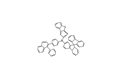 C1=CC2c3ccc(N(c4ccc(-c5ccc6ccccc6c5-c5ccccc5)cc4)c4ccc5sc6ccccc6c5c4)cc3C3(c4ccccc4-c4ccccc43)C2C=C1